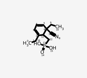 CCC1=CC=CC(C#N)(CC)C1CP(=O)(O)O